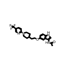 CC(=O)Nc1c[nH]c2ccc(OCCC3CCN(c4ccc(C(F)(F)F)cn4)CC3)cc12